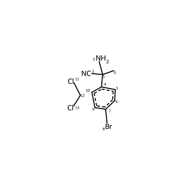 CC(N)(C#N)c1ccc(Br)cc1.ClCCl